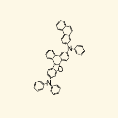 c1ccc(N(c2ccccc2)c2ccc3c(c2)oc2c4ccc(N(c5ccccc5)c5ccc6c(ccc7ccccc76)c5)cc4c4ccccc4c32)cc1